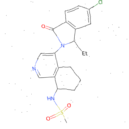 CCC1c2cc(Cl)ccc2C(=O)N1c1cncc2c1CCCC2NS(C)(=O)=O